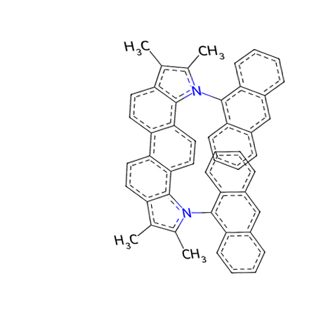 Cc1c(C)n(-c2c3ccccc3cc3ccccc23)c2c1ccc1c3ccc4c(C)c(C)n(-c5c6ccccc6cc6ccccc56)c4c3ccc12